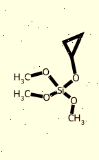 CO[Si](OC)(OC)OC1CC1